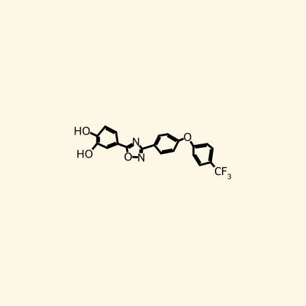 Oc1ccc(-c2nc(-c3ccc(Oc4ccc(C(F)(F)F)cc4)cc3)no2)cc1O